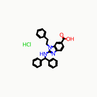 Cl.O=C(O)c1ccc2nc(NC(c3ccccc3)c3ccccc3)n(CCc3ccccc3)c2c1